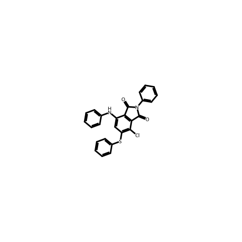 O=C1c2c(Nc3ccccc3)cc(Sc3ccccc3)c(Cl)c2C(=O)N1c1ccccc1